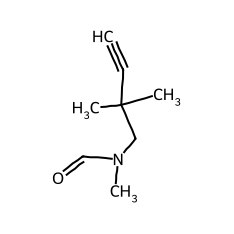 C#CC(C)(C)CN(C)C=O